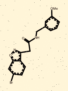 COc1cccc(CNC(=O)Cc2noc3cc(Br)ccc23)c1